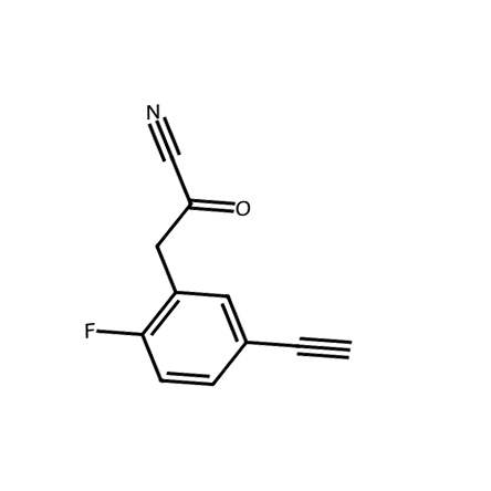 C#Cc1ccc(F)c(CC(=O)C#N)c1